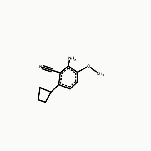 COc1ccc(C2CCC2)c(C#N)c1N